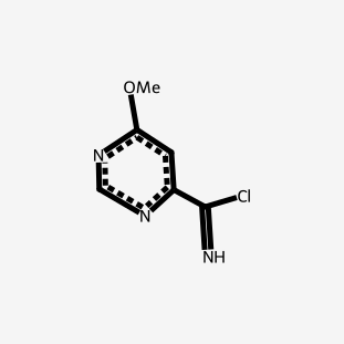 COc1cc(C(=N)Cl)ncn1